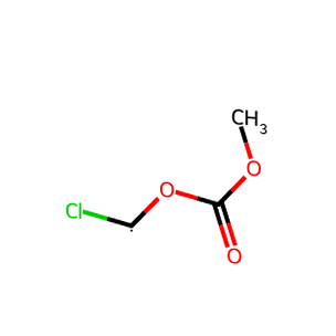 COC(=O)O[CH]Cl